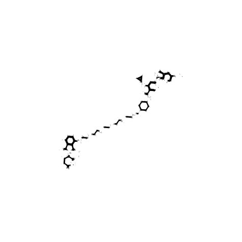 N#Cc1cnc2c(cnn2-c2cc(NC3CC3)c(C(=O)N[C@H]3CC[C@H](COCCOCCOCCOCCOCCNc4cccc5c4C(=O)N(C4CCC(=O)NC4=O)C5=O)CC3)cn2)c1